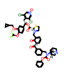 O=C1C(CN2CCS[C@H]2C(=O)O[C@@H](Cc2c(Cl)c[n+]([O-])cc2Cl)c2ccc(OC(F)F)c(OCC3CC3)c2)=CC=C[C@H]1C(=O)c1cccc(CN(C(=O)Oc2ccccc2)[C@H]2CN3CCC2CC3)c1